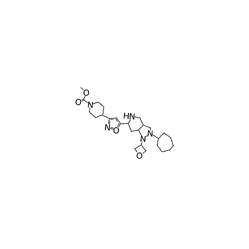 COC(=O)N1CCC(c2cc(C3CC4C(CN3)CN(C3CCCCCC3)N4C3COC3)on2)CC1